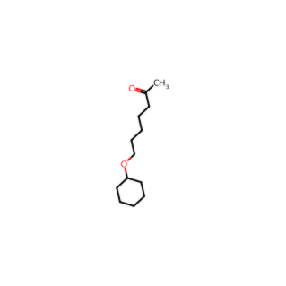 CC(=O)CCCCCOC1CCCCC1